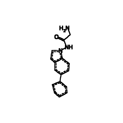 NCC(=O)Nn1ccc2cc(-c3ccccc3)ccc21